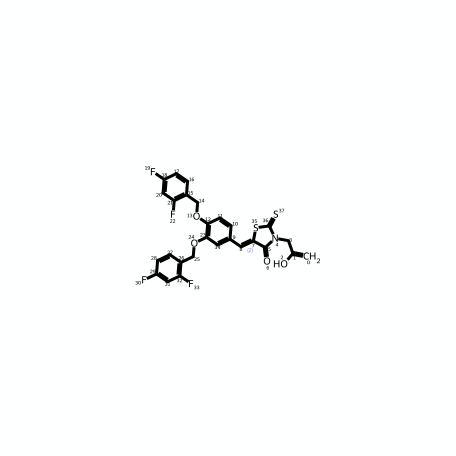 C=C(O)CN1C(=O)/C(=C/c2ccc(OCc3ccc(F)cc3F)c(OCc3ccc(F)cc3F)c2)SC1=S